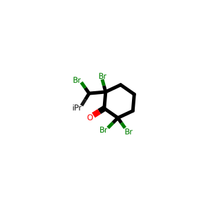 CC(C)C(Br)C1(Br)CCCC(Br)(Br)C1=O